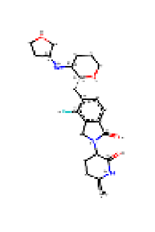 C=C1CCC(N2Cc3c(ccc(C[C@H]4OCCC[C@@H]4N[C@H]4CCOC4)c3F)C2=O)C(=O)N1